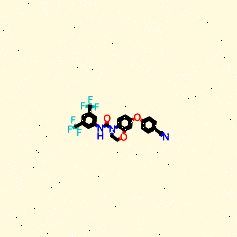 N#Cc1ccc(Oc2ccc3c(c2)OCCN3C(=O)Nc2cc(C(F)(F)F)cc(C(F)(F)F)c2)cc1